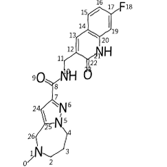 CN1CCCn2nc(C(=O)NCc3cc4ccc(F)cc4[nH]c3=O)cc2C1